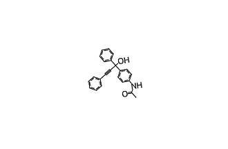 CC(=O)Nc1ccc(C(O)(C#Cc2ccccc2)c2ccccc2)cc1